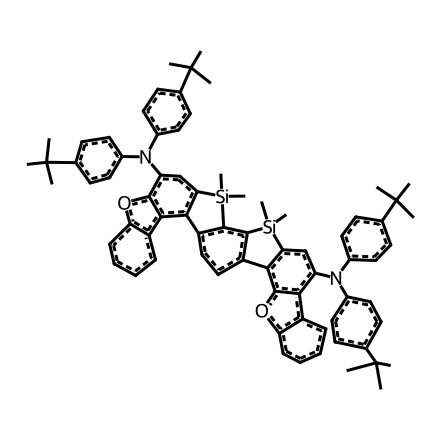 CC(C)(C)c1ccc(N(c2ccc(C(C)(C)C)cc2)c2cc3c(c4c2oc2ccccc24)-c2ccc4c(c2[Si]3(C)C)[Si](C)(C)c2cc(N(c3ccc(C(C)(C)C)cc3)c3ccc(C(C)(C)C)cc3)c3c(oc5ccccc53)c2-4)cc1